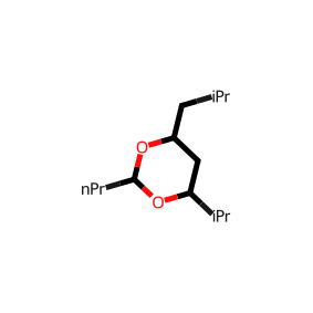 CCCC1OC(CC(C)C)CC(C(C)C)O1